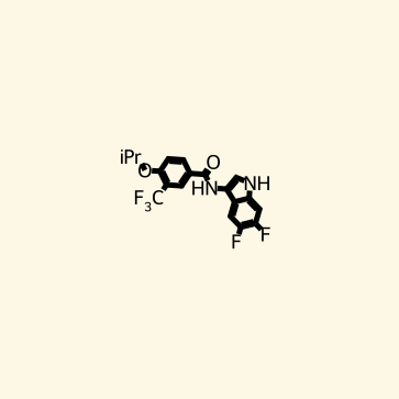 CC(C)Oc1ccc(C(=O)Nc2c[nH]c3cc(F)c(F)cc23)cc1C(F)(F)F